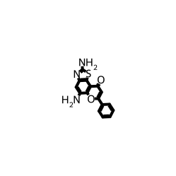 Nc1nc2cc(N)c3oc(-c4ccccc4)cc(=O)c3c2s1